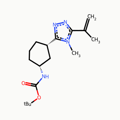 C=C(C)c1nnc([C@H]2CCC[C@@H](NC(=O)OC(C)(C)C)C2)n1C